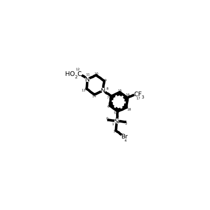 C[Si](C)(CBr)c1cc(N2CCN(C(=O)O)CC2)cc(C(F)(F)F)c1